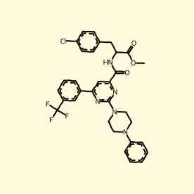 COC(=O)C(Cc1ccc(Cl)cc1)NC(=O)c1cc(-c2cccc(C(F)(F)F)c2)nc(N2CCN(c3ccccc3)CC2)n1